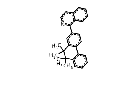 CC1(C)c2ccccc2-c2ccc(-c3nccc4ccccc34)cc2C1(C)C